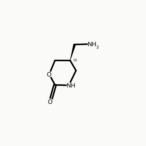 NC[C@H]1CNC(=O)OC1